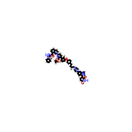 Cc1c(OC2CCC(CC[C@@H](C)CN3CCN(c4ccc5c(C6CCC(=O)NC6=O)nn(C)c5c4)CC3)CC2)cccc1-c1ccc(N2CCc3cccc(C(=O)Nc4nc5ccccc5s4)c3C2)nc1C(=O)OC(C)(C)C